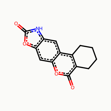 O=c1[nH]c2cc3c4c(c(=O)oc3cc2o1)CCCC4